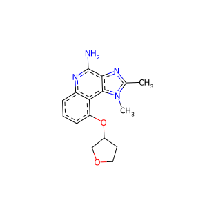 Cc1nc2c(N)nc3cccc(OC4CCOC4)c3c2n1C